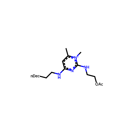 CCCCCCCCCCCCNc1cc(C)[n+](C)c(NCCOC(C)=O)n1